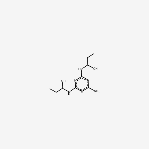 CCC(O)Nc1nc(N)nc(NC(O)CC)n1